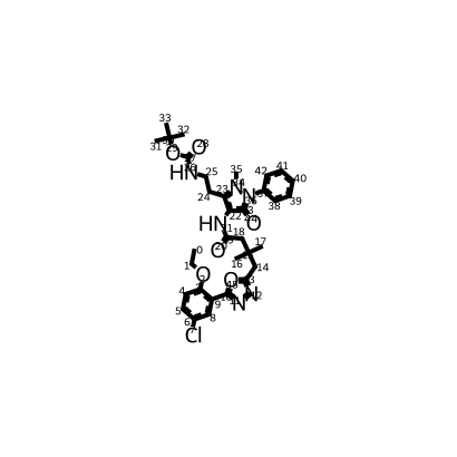 CCOc1ccc(Cl)cc1-c1nnc(CC(C)(C)CC(=O)Nc2c(CCNC(=O)OC(C)(C)C)n(C)n(-c3ccccc3)c2=O)o1